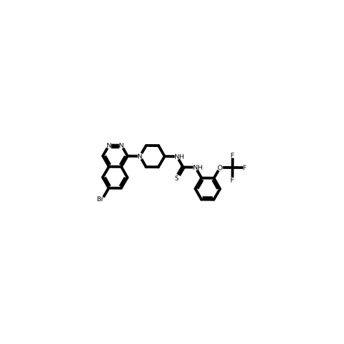 FC(F)(F)Oc1ccccc1NC(=S)NC1CCN(c2nncc3cc(Br)ccc23)CC1